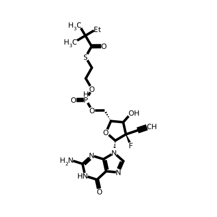 C#C[C@@]1(F)C(O)[C@@H](CO[PH](=O)OCCSC(=O)C(C)(C)CC)O[C@H]1n1cnc2c(=O)[nH]c(N)nc21